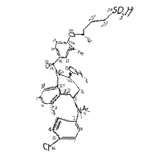 CC(=O)N(c1ccc(Cl)cc1)[C@@H]1C[C@H](C)N(C(=O)c2ccc(OCCCS(=O)(=O)O)cc2)c2ccccc21